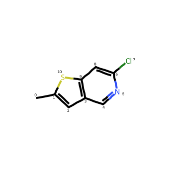 Cc1cc2cnc(Cl)cc2s1